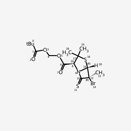 CC(C)(C)C(=O)OCOC(=O)[C@@H]1N2C(=S)[C@](C)(Br)[C@H]2SC1(C)C